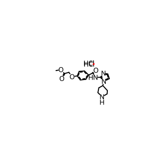 COC(=O)COc1ccc(C(=O)Nc2nccn2C2CCNCC2)cc1.Cl.Cl